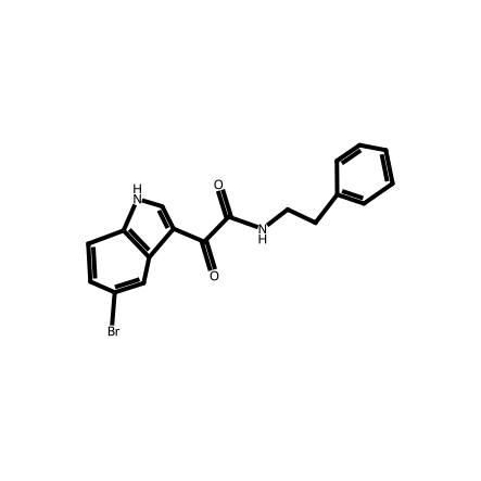 O=C(NCCc1ccccc1)C(=O)c1c[nH]c2ccc(Br)cc12